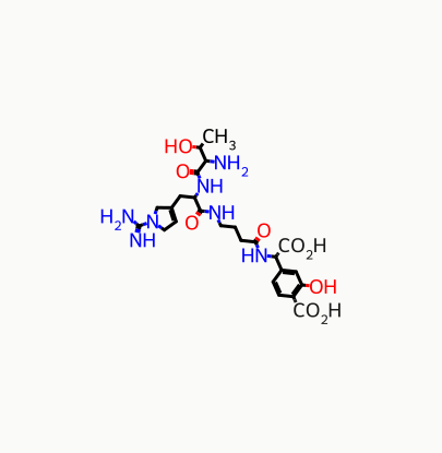 CC(O)C(N)C(=O)NC(CC1=CCN(C(=N)N)C1)C(=O)NCCCC(=O)NC(C(=O)O)c1ccc(C(=O)O)c(O)c1